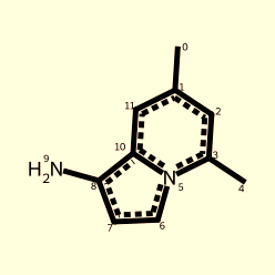 Cc1cc(C)n2ccc(N)c2c1